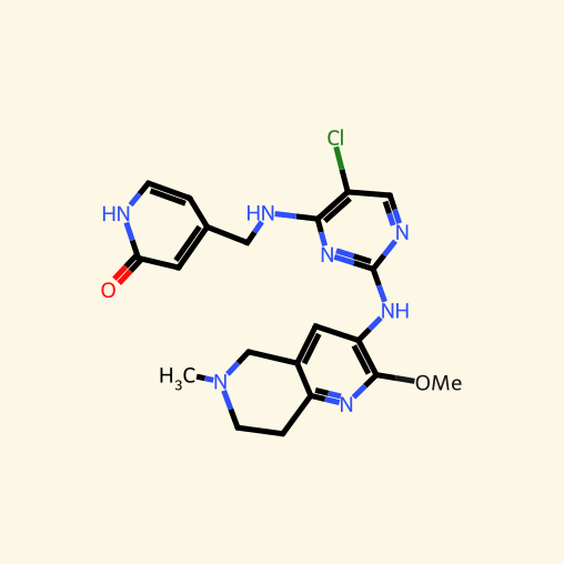 COc1nc2c(cc1Nc1ncc(Cl)c(NCc3cc[nH]c(=O)c3)n1)CN(C)CC2